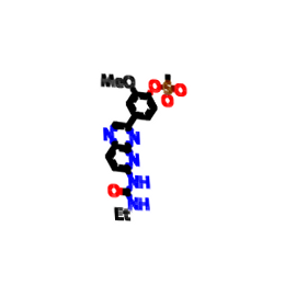 CCNC(=O)Nc1ccc2ncc(-c3ccc(OS(C)(=O)=O)c(OC)c3)nc2n1